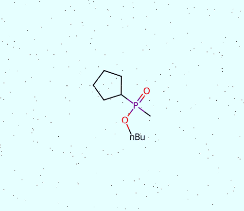 CCCCOP(C)(=O)C1CCCC1